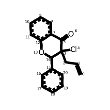 C=CCC1(Cl)C(=O)c2ccccc2OC1c1ccccc1